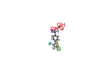 O=C(O)CCC(=NO)c1ccc(-c2sc(Cl)cc2F)cc1